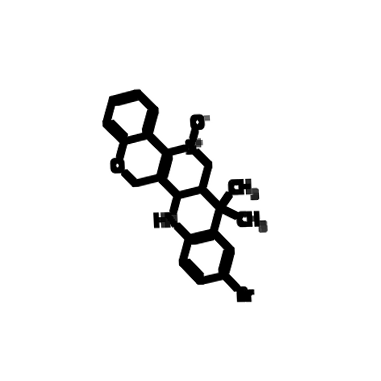 CC1(C)c2cc(Br)ccc2NC2C3=C(c4ccccc4OC3)[S+]([O-])CC21